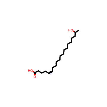 CC(O)CCCCCCCCCCCC/C=C\CCCC(=O)O